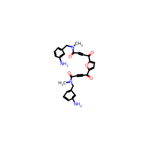 CN(Cc1cccc(N)c1)C(=O)C#CC(=O)c1ccc(C(=O)C#CC(=O)N(C)Cc2cccc(N)c2)o1